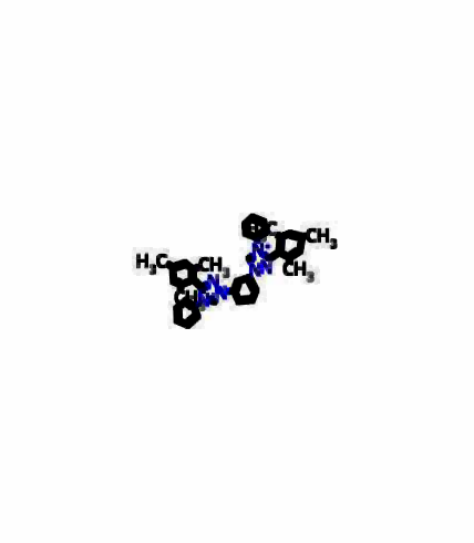 Cc1cc(C)c(-c2nn(-c3cccc(-n4c[n+](-c5ccccc5)c(-c5c(C)cc(C)cc5C)n4)c3)c[n+]2-c2ccccc2)c(C)c1